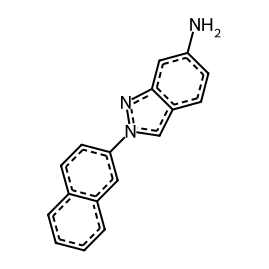 Nc1ccc2cn(-c3ccc4ccccc4c3)nc2c1